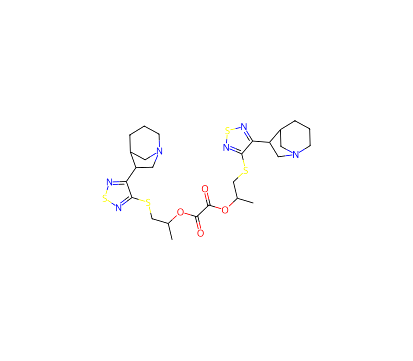 CC(CSc1nsnc1C1CN2CCCC1C2)OC(=O)C(=O)OC(C)CSc1nsnc1C1CN2CCCC1C2